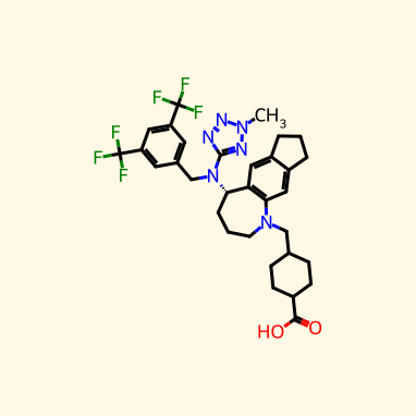 Cn1nnc(N(Cc2cc(C(F)(F)F)cc(C(F)(F)F)c2)[C@H]2CCCN(CC3CCC(C(=O)O)CC3)c3cc4c(cc32)CCC4)n1